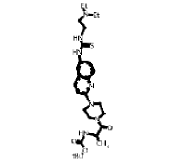 CCN(CC)CCNC(=S)Nc1ccc2nc(N3CCN(C(=O)C(C)NC(=O)OC(C)(C)C)CC3)ccc2c1